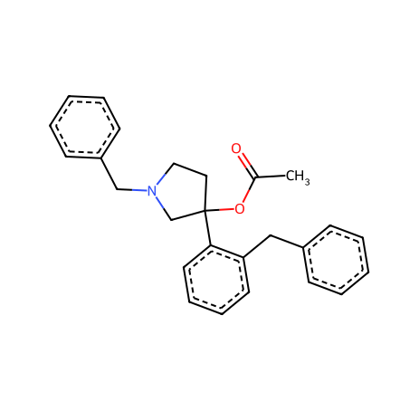 CC(=O)OC1(c2ccccc2Cc2ccccc2)CCN(Cc2ccccc2)C1